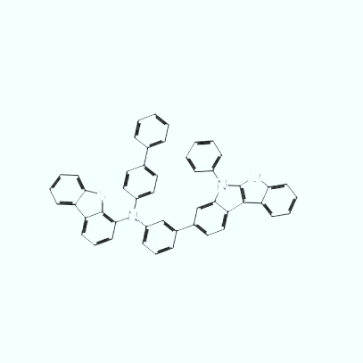 c1ccc(-c2ccc(N(c3cccc(-c4ccc5c6c7ccccc7oc6n(-c6ccccc6)c5c4)c3)c3cccc4c3sc3ccccc34)cc2)cc1